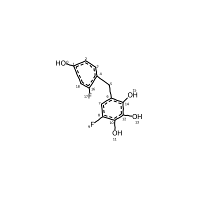 Oc1ccc(Cc2cc(F)c(O)c(O)c2O)c(F)c1